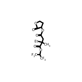 CCC(C)(CC(=O)OC1CCOC1=O)C(=O)OC(C(F)(F)F)C(F)(F)F